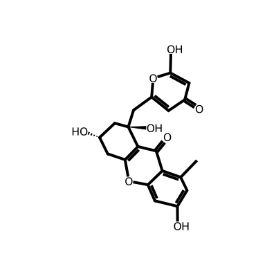 Cc1cc(O)cc2oc3c(c(=O)c12)[C@@](O)(Cc1cc(=O)cc(O)o1)C[C@@H](O)C3